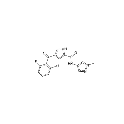 Cn1cc(NC(=O)c2cc(C(=O)c3c(F)cccc3Cl)c[nH]2)cn1